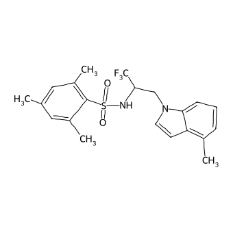 Cc1cc(C)c(S(=O)(=O)NC(Cn2ccc3c(C)cccc32)C(F)(F)F)c(C)c1